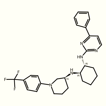 FC(F)(F)c1ccc(N2CCC[C@H](N[C@@H]3CCCC[C@H]3Nc3nccc(-c4ccccc4)n3)C2)cc1